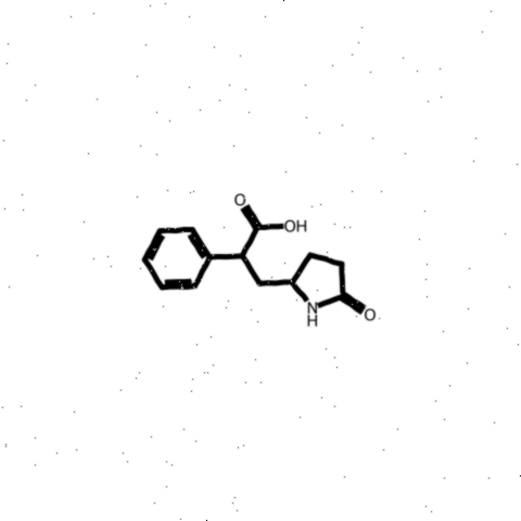 O=C1CCC(CC(C(=O)O)c2ccccc2)N1